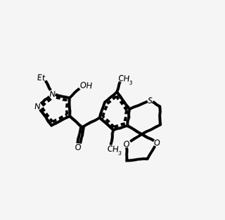 CCn1ncc(C(=O)c2cc(C)c3c(c2C)C2(CCS3)OCCO2)c1O